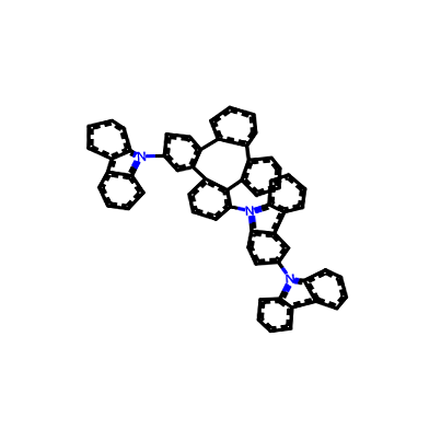 c1ccc2c(c1)-c1ccc(-n3c4ccccc4c4ccccc43)cc1-c1cccc(-n3c4ccccc4c4cc(-n5c6ccccc6c6ccccc65)ccc43)c1-c1ccccc1-2